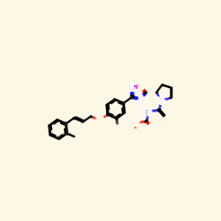 C=C(NC(=O)OC(C)(C)C)N1CCC[C@H]1c1nc(-c2ccc(OC/C=C/c3ccccc3C)c(C(F)(F)F)c2)no1